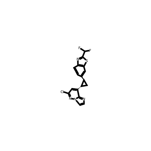 FC(F)c1nc2ccc([C@H]3C[C@@H]3c3cc(Cl)nn4ccnc34)cc2s1